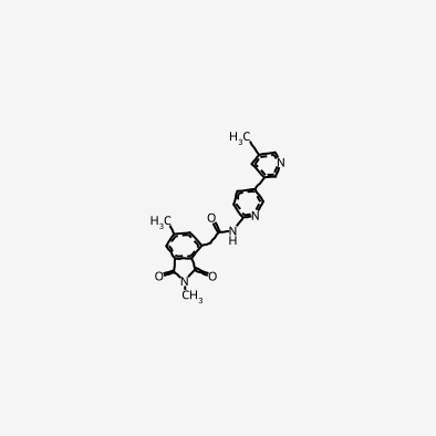 Cc1cncc(-c2ccc(NC(=O)Cc3cc(C)cc4c3C(=O)N(C)C4=O)nc2)c1